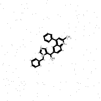 Cc1cc(-c2ccccc2)c2cc(C(O)c3cncn3Cc3ccccc3)ccc2n1